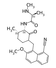 CN[C@@H](C)C(=O)N[C@@H]1C(=O)C(Cc2c(OC)ccc3cccc(C#N)c23)CC[C@@H]1C